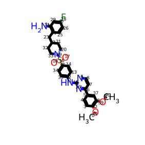 COc1ccc(-c2ccnc(Nc3ccc(S(=O)(=O)N4CCC(Cc5ccc(F)cc5N)CC4)cc3)n2)cc1OC